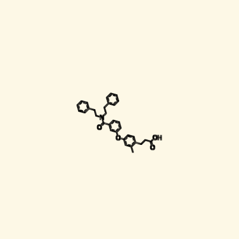 Cc1cc(Oc2cccc(C(=O)N(CCc3ccccc3)CCc3ccccc3)c2)ccc1CCC(=O)O